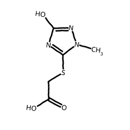 Cn1nc(O)nc1SCC(=O)O